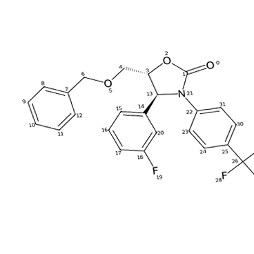 O=C1O[C@@H](COCc2ccccc2)[C@H](c2cccc(F)c2)N1c1ccc(C(F)(F)F)cc1